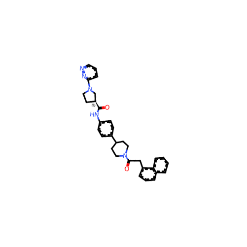 O=C(Nc1ccc(C2CCN(C(=O)Cc3cccc4ccccc34)CC2)cc1)[C@H]1CCN(c2cccnn2)C1